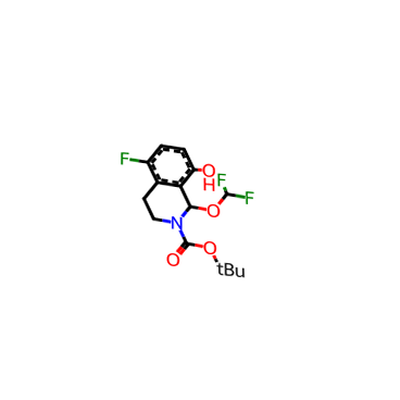 CC(C)(C)OC(=O)N1CCc2c(F)ccc(O)c2C1OC(F)F